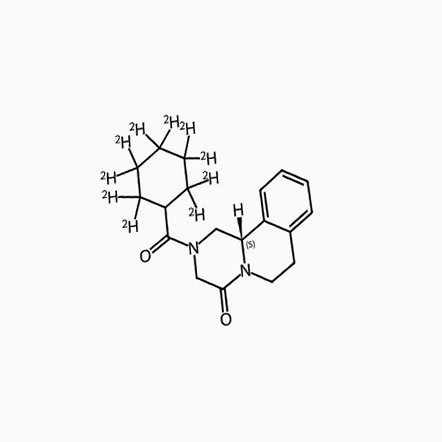 [2H]C1([2H])C(C(=O)N2CC(=O)N3CCc4ccccc4[C@H]3C2)C([2H])([2H])C([2H])([2H])C([2H])([2H])C1([2H])[2H]